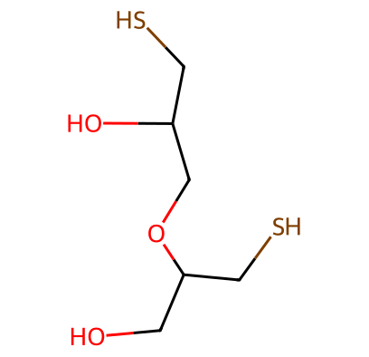 OCC(CS)OCC(O)CS